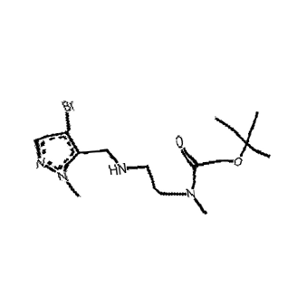 CN(CCNCc1c(Br)cnn1C)C(=O)OC(C)(C)C